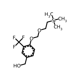 C[Si](C)(C)CCOCOc1ccc(CO)cc1C(F)(F)F